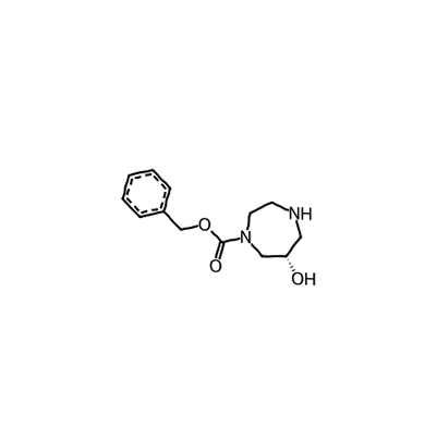 O=C(OCc1ccccc1)N1CCNC[C@H](O)C1